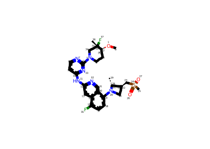 CO[C@@H]1CCN(c2nccc(Nc3cc4c(F)ccc(N5C[C@H](CS(C)(=O)=O)[C@H]5C)c4cn3)n2)C[C@]1(C)F